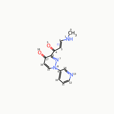 CN/C=C/C(=O)c1nn(-c2cccnc2)ccc1=O